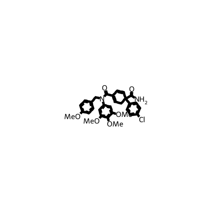 COc1ccc(CN(C(=O)C2=CCC(C(N)=O)(c3ccc(Cl)cc3)C=C2)c2cc(OC)c(OC)c(OC)c2)cc1